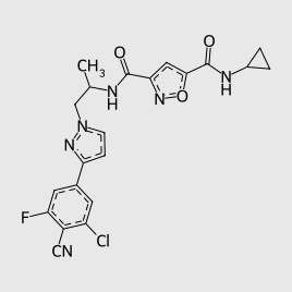 CC(Cn1ccc(-c2cc(F)c(C#N)c(Cl)c2)n1)NC(=O)c1cc(C(=O)NC2CC2)on1